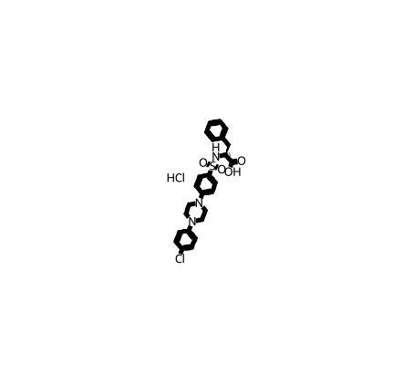 Cl.O=C(O)[C@H](Cc1ccccc1)NS(=O)(=O)c1ccc(N2CCN(c3ccc(Cl)cc3)CC2)cc1